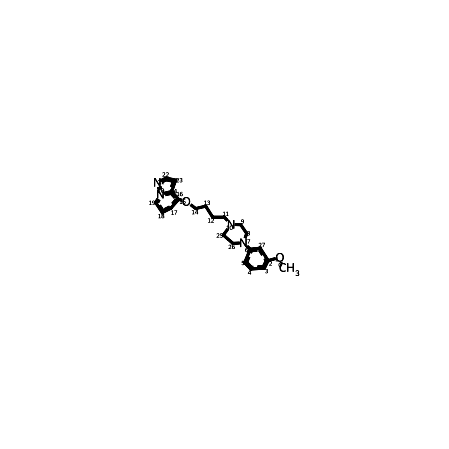 COc1cccc(N2CCN(CCCCOc3cccn4nccc34)CC2)c1